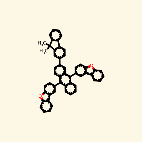 CC1(C)c2ccccc2-c2ccc(-c3ccc4c(-c5ccc6oc7ccccc7c6c5)c5ccccc5c(-c5ccc6oc7ccccc7c6c5)c4c3)cc21